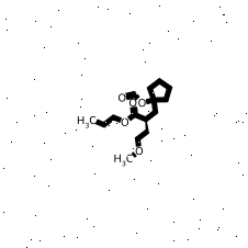 CCCOC(=O)[C@H](CCOC)CC1(OC=O)CCCC1